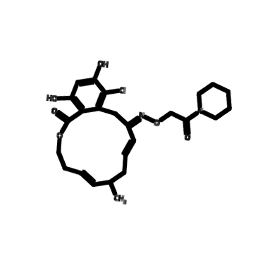 CC1/C=C/CCOC(=O)c2c(O)cc(O)c(Cl)c2CC(=NOCC(=O)N2CCCCC2)/C=C/C1